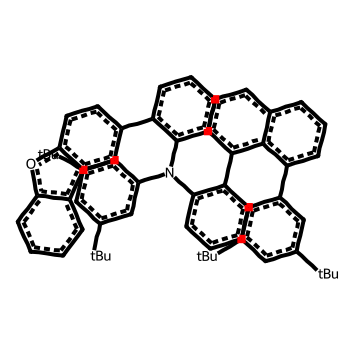 CC(C)(C)c1cc(-c2cccc3cccc(-c4ccccc4N(c4cc(C(C)(C)C)cc(C(C)(C)C)c4)c4ccccc4-c4ccc5oc6ccccc6c5c4)c23)cc(C(C)(C)C)c1